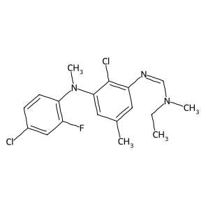 CCN(C)/C=N\c1cc(C)cc(N(C)c2ccc(Cl)cc2F)c1Cl